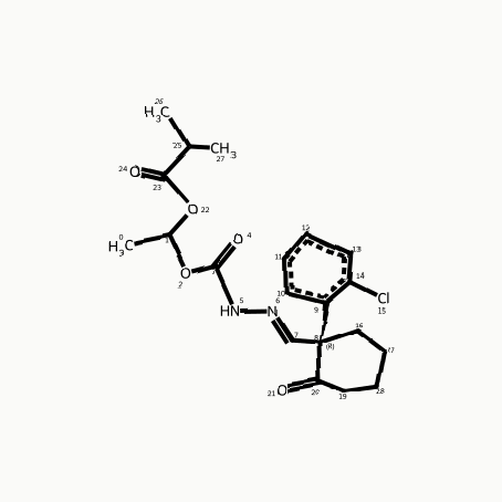 CC(OC(=O)NN=C[C@]1(c2ccccc2Cl)CCCCC1=O)OC(=O)C(C)C